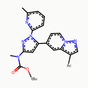 CC(=O)c1cnn2ccc(-c3cc(N(C)C(=O)OC(C)(C)C)nn3-c3cccc(C)n3)cc12